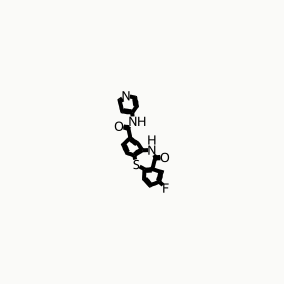 O=C(Nc1ccncc1)c1ccc2c(c1)NC(=O)c1cc(F)ccc1S2